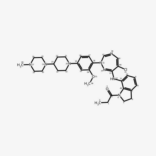 CCC(=O)N1CCc2cccc(NC3=NN(c4ccc(N5CCC(N6CCN(C)CC6)CC5)cc4OC)C=NC=C3Cl)c21